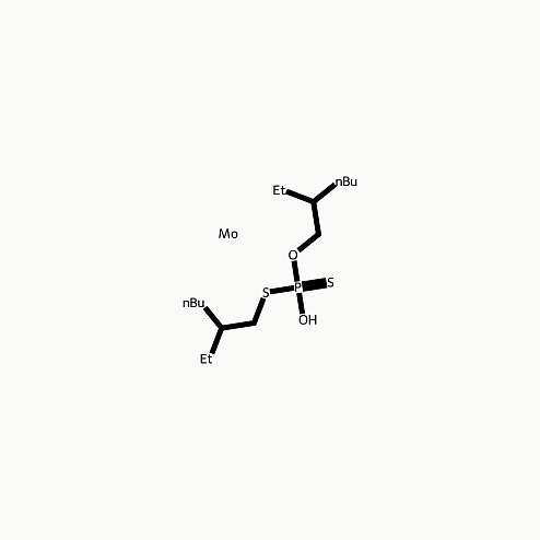 CCCCC(CC)COP(O)(=S)SCC(CC)CCCC.[Mo]